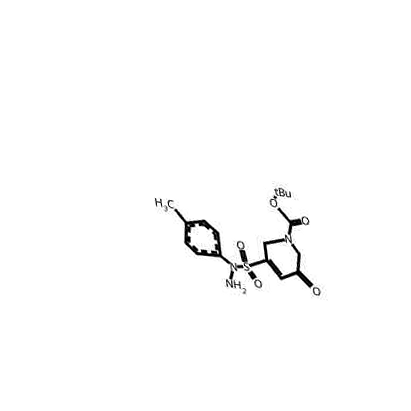 Cc1ccc(N(N)S(=O)(=O)C2=CC(=O)CN(C(=O)OC(C)(C)C)C2)cc1